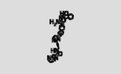 Nc1nnc(-c2ccccc2O)cc1N1CCC2(CCN(c3ccnc(C#CCNC(=O)c4cc5ncccn5n4)n3)C2)CC1